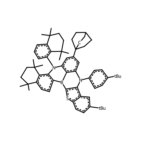 CC(C)(C)c1ccc(N2c3cc(C45CCC(CC4)CC5)cc4c3B(c3ccc5c(c3N4c3cccc4c3C(C)(C)CCC4(C)C)C(C)(C)CCC5(C)C)c3sc4ccc(C(C)(C)C)cc4c32)cc1